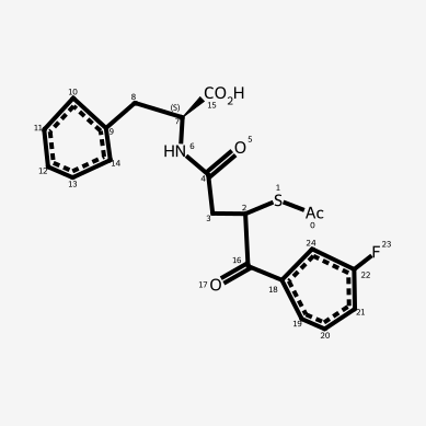 CC(=O)SC(CC(=O)N[C@@H](Cc1ccccc1)C(=O)O)C(=O)c1cccc(F)c1